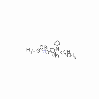 CCCCC1(CC)CN(c2ccccc2)c2cc(Br)c(O/C=C/C(=O)OCC)cc2S(=O)(=O)C1